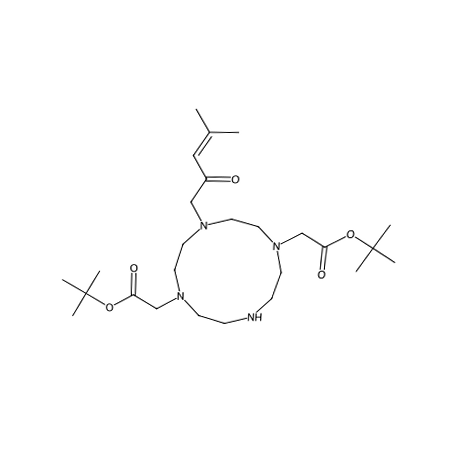 CC(C)=CC(=O)CN1CCN(CC(=O)OC(C)(C)C)CCNCCN(CC(=O)OC(C)(C)C)CC1